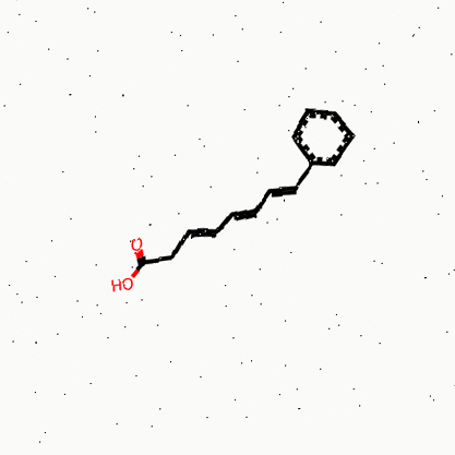 O=C(O)CC=CC=CC=Cc1ccccc1